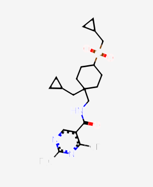 O=C(NCC1(CC2CC2)CCC(S(=O)(=O)CC2CC2)CC1)c1cnc(C(F)(F)F)nc1C(F)(F)F